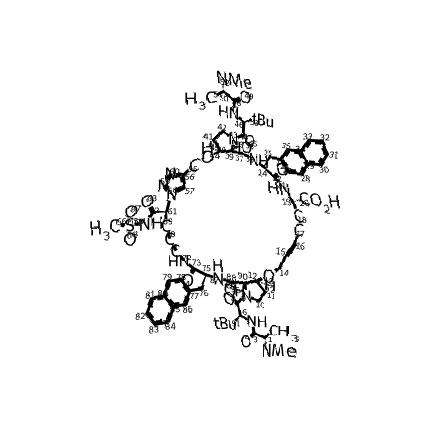 CN[C@@H](C)C(=O)N[C@H](C(=O)N1CC[C@@H]2OC/C=C/CC[C@@H](C(=O)O)NC(=O)[C@H](Cc3ccc4ccccc4c3)NC(=O)[C@@H]3[C@H](CCN3C(=O)[C@@H](NC(=O)[C@H](C)NC)C(C)(C)C)OCc3cn(nn3)[C@H](C(=O)NS(C)(=O)=O)CCCNC(=O)[C@H](Cc3ccc4ccccc4c3)NC(=O)[C@H]21)C(C)(C)C